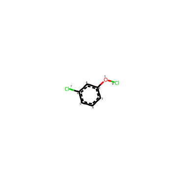 ClOc1cccc(Cl)c1